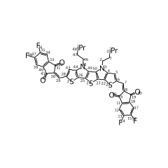 CC(C)CCn1c2cc(C=C3C(=O)c4cc(F)c(F)cc4C3=O)sc2c2sc3c4sc(C=C5C(=O)c6cc(F)c(F)cc6C5=O)cc4n(CCC(C)C)c3c21